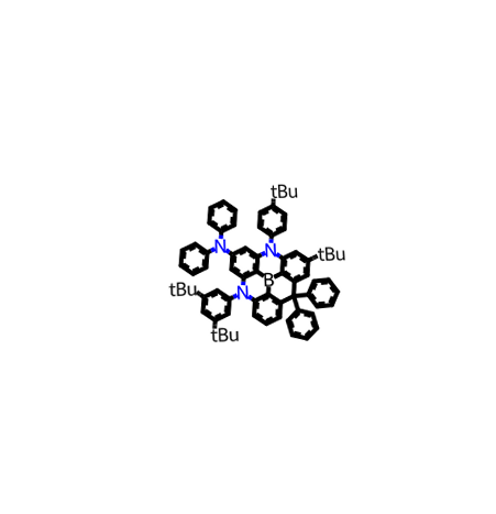 CC(C)(C)c1ccc(N2c3cc(N(c4ccccc4)c4ccccc4)cc4c3B3c5c(cccc5C(c5ccccc5)(c5ccccc5)c5cc(C(C)(C)C)cc2c53)N4c2cc(C(C)(C)C)cc(C(C)(C)C)c2)cc1